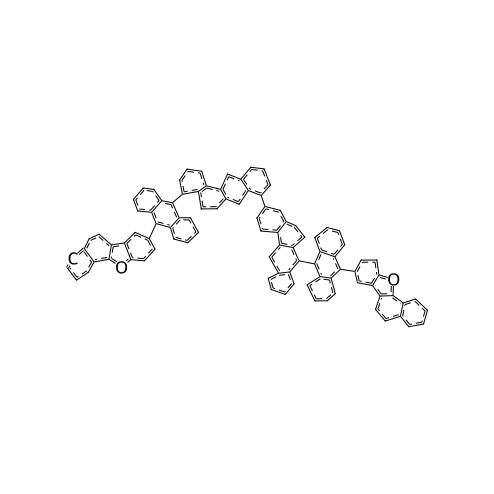 c1cc(-c2ccc3c(ccc4c(-c5c6ccccc6c(-c6ccc7oc8c9ccccc9ccc8c7c6)c6ccccc56)c5ccccc5cc43)c2)c2cc3ccc4c(-c5c6ccccc6c(-c6ccc7oc8c9ccccc9ccc8c7c6)c6ccccc56)cccc4c3cc2c1